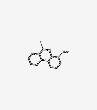 COc1cccc2c1nc(F)c1ccccc12